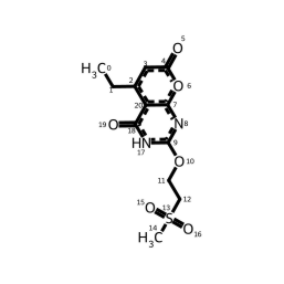 CCc1cc(=O)oc2nc(OCCS(C)(=O)=O)[nH]c(=O)c12